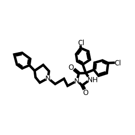 O=C1NC(c2ccc(Cl)cc2)(c2ccc(Cl)cc2)C(=O)N1CCCN1CCC(c2ccccc2)CC1